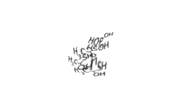 CC(O)S.CC(O)S.CC(O)S.OP(O)O